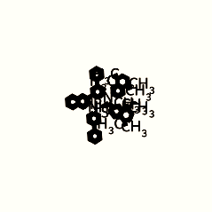 Cc1cc2c(cc1N1c3cc(-c4ccccc4)cc(-c4cc5ccccc5cc4Nc4ccc(-c5ccccc5)cc4)c3Bc3sc4cc5c(cc4c31)C(C)(C)CCC5(C)C)C(C)(C)CCC2(C)C